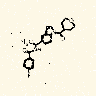 CC(NC(=O)c1ccc(F)cc1)c1ccc2c(ccn2C(=O)C2CCOCC2)c1